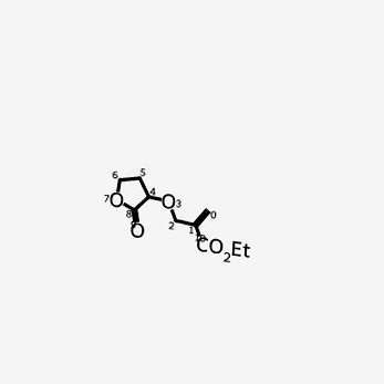 C=C(COC1CCOC1=O)C(=O)OCC